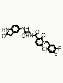 Cc1ccc(C(=O)NCC(=O)Nc2ccc3c(c2)CC(=O)N3)c(=O)n1Cc1ccc(F)c(F)c1